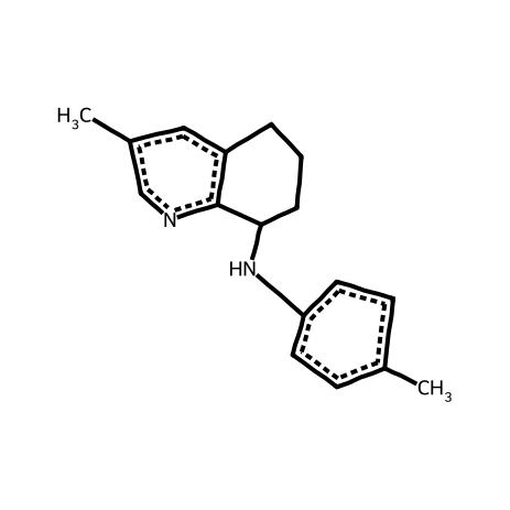 Cc1ccc(NC2CCCc3cc(C)cnc32)cc1